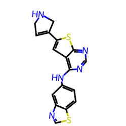 C1=C(c2cc3c(Nc4ccc5scnc5c4)ncnc3s2)CNC1